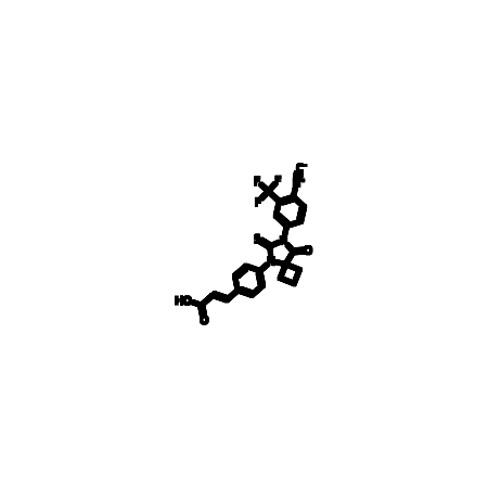 [C-]#[N+]c1ccc(N2C(=O)C3(CCC3)N(c3ccc(/C=C/C(=O)O)cc3)C2=S)cc1C(F)(F)F